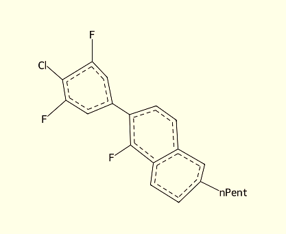 CCCCCc1ccc2c(F)c(-c3cc(F)c(Cl)c(F)c3)ccc2c1